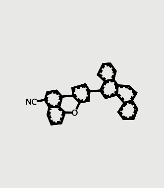 N#Cc1ccc2c3c(cccc13)Oc1cc(-c3cc4c5ccccc5ccc4c4ccccc34)ccc1-2